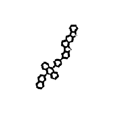 c1ccc2cc(-c3c4ccccc4c(-c4ccc(-c5ccc6sc7c8cc9oc%10ccccc%10c9cc8ccc7c6c5)cc4)c4ccccc34)ccc2c1